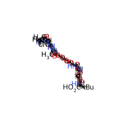 C[C@@H]1CN(c2ncc(-c3ccc4c(n3)N(Cc3cccnc3C#N)C(C)(C)C4=O)cn2)CCN1C(=O)COCCOCCOCCOCCNC(=O)c1ccc(Oc2cccc(OCC(=O)N[C@@H](CCC(C)(C)C)C(=O)O)c2)nc1